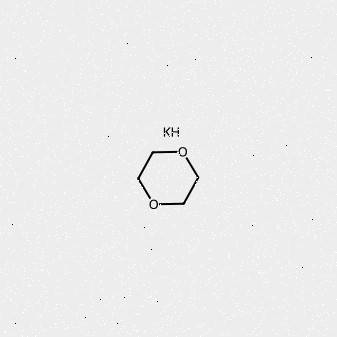 C1COCCO1.[KH]